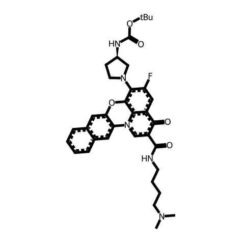 CN(C)CCCCNC(=O)c1cn2c3c(c(N4CC[C@@H](NC(=O)OC(C)(C)C)C4)c(F)cc3c1=O)Oc1cc3ccccc3cc1-2